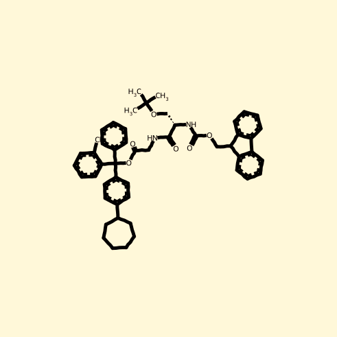 CC(C)(C)OC[C@H](NC(=O)OCC1c2ccccc2-c2ccccc21)C(=O)NCC(=O)OC(c1ccccc1)(c1ccc(C2CCCCCC2)cc1)c1ccccc1Cl